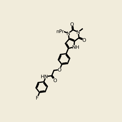 CCCn1c(=O)n(C)c(=O)c2[nH]c(-c3ccc(OCC(=O)Nc4ccc(F)cc4)cc3)cc21